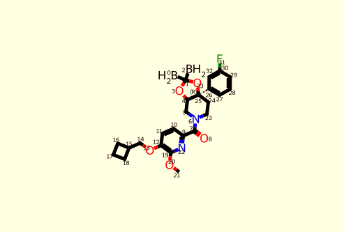 BC1(B)OC2CN(C(=O)c3ccc(OCC4CCC4)c(OC)n3)CC[C@]2(c2cccc(F)c2)O1